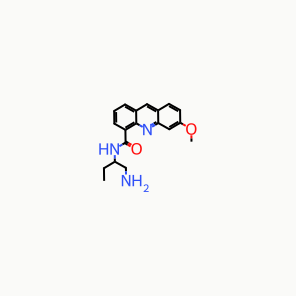 CCC(CN)NC(=O)c1cccc2cc3ccc(OC)cc3nc12